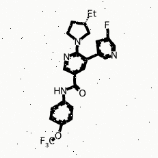 CC[C@H]1CCN(c2ncc(C(=O)Nc3ccc(OC(F)(F)F)cc3)cc2-c2cncc(F)c2)C1